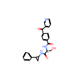 O=C(N[C@@H](CO)C(=O)NC1CC1c1ccccc1)c1ccc(C(=O)c2cccnc2)cc1